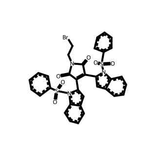 O=C1C(c2cc3ccccc3n2S(=O)(=O)c2ccccc2)=C(c2cc3ccccc3n2S(=O)(=O)c2ccccc2)C(=O)N1CCBr